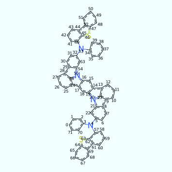 c1ccc(N(c2ccc3c4cccc5c6cc7c(cc6n(c3c2)c45)c2cccc3c4ccc(N(c5ccccc5)c5cccc6c5sc5ccccc56)cc4n7c32)c2cccc3c2sc2ccccc23)cc1